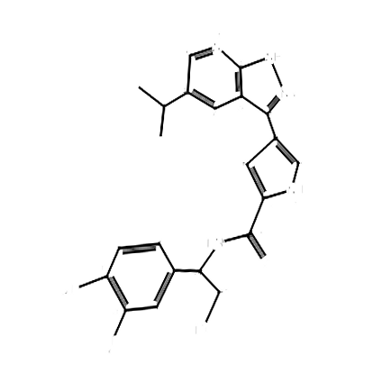 CC(C)c1cnc2[nH]nc(-c3c[nH]c(C(=O)NC(CO)c4ccc(F)c(Cl)c4)c3)c2c1